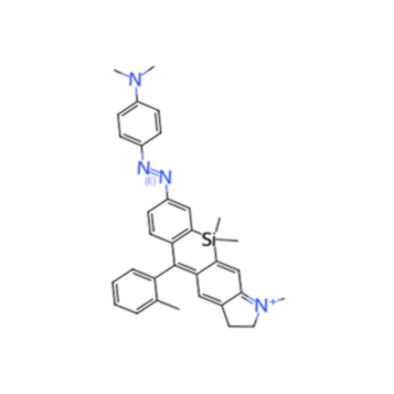 Cc1ccccc1C1=c2cc3c(cc2[Si](C)(C)c2cc(/N=N/c4ccc(N(C)C)cc4)ccc21)=[N+](C)CC3